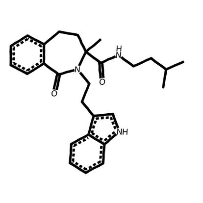 CC(C)CCNC(=O)C1(C)CCc2ccccc2C(=O)N1CCc1c[nH]c2ccccc12